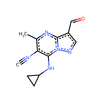 [C-]#[N+]c1c(C)nc2c(C=O)cnn2c1NC1CC1